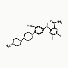 COc1cc(Nc2nc(I)c(I)nc2C(N)=O)ccc1N1CCC(N2CCN(C)CC2)CC1